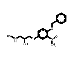 C[S+]([O-])c1cc(OCC(O)CNC(C)(C)C)ccc1OCc1ccccc1